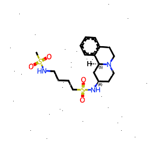 CS(=O)(=O)NCCCCS(=O)(=O)N[C@@H]1CCN2CCc3ccccc3[C@@H]2C1